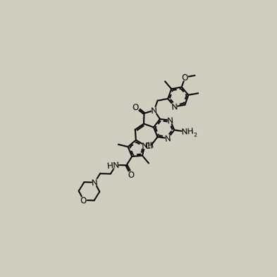 COc1c(C)cnc(CN2C(=O)/C(=C/c3[nH]c(C)c(C(=O)NCCN4CCOCC4)c3C)c3c(Cl)nc(N)nc32)c1C